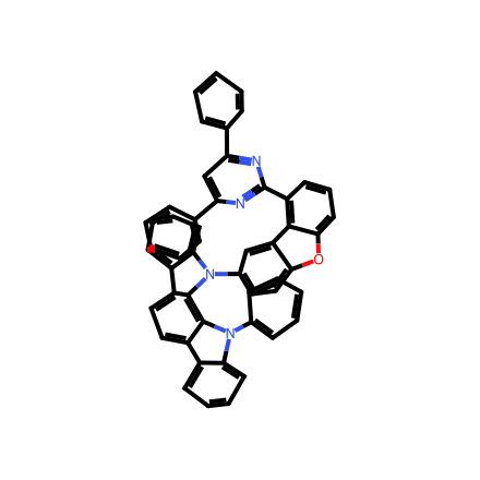 c1ccc(-c2cc(-c3ccccc3)nc(-c3cccc4oc5ccc(-n6c7ccccc7c7ccc8c9ccccc9n(-c9ccccc9)c8c76)cc5c34)n2)cc1